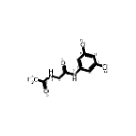 O=C(CNC(=O)C(F)(F)F)Nc1cc(Cl)cc(Cl)c1